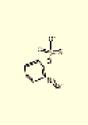 O=S([O-])([O-])=S.[Na+].[Na+].c1ccccc1